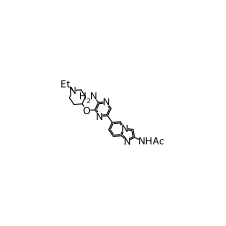 CCN1CCC(Oc2nc(-c3ccc4nc(NC(C)=O)cn4c3)cnc2N)CC1